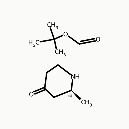 CC(C)(C)OC=O.C[C@H]1CC(=O)CCN1